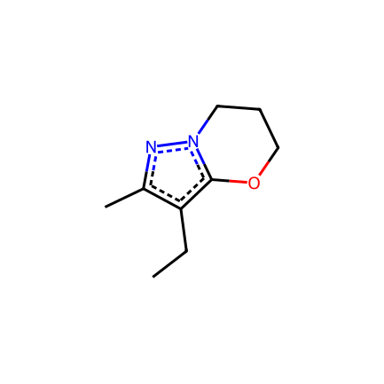 CCc1c(C)nn2c1OCCC2